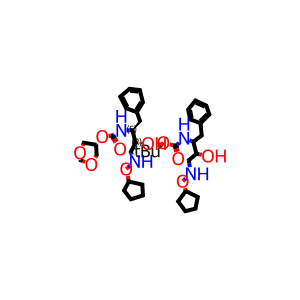 CC(C)(C)OC(=O)NC(Cc1ccccc1)C(O)CNOC1CCCC1.O=C(N[C@@H](Cc1ccccc1)[C@H](O)CNOC1CCCC1)OC1COCOC1